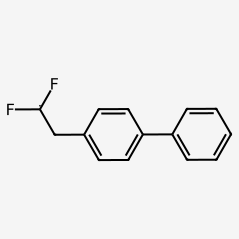 F[C](F)Cc1ccc(-c2ccccc2)cc1